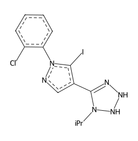 CC(C)N1NNN=C1c1cnn(-c2ccccc2Cl)c1I